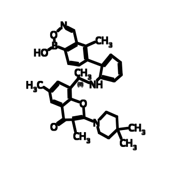 Cc1cc([C@@H](C)Nc2ccccc2-c2ccc3c(c2C)C=NOB3O)c2oc(N3CCC(C)(C)CC3)c(C)c(=O)c2c1